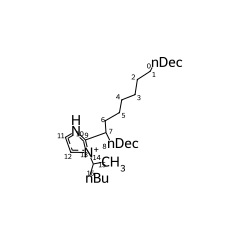 CCCCCCCCCCCCCCCCC(CCCCCCCCCC)c1[nH]cc[n+]1C(C)CCCC